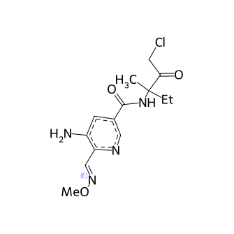 CCC(C)(NC(=O)c1cnc(/C=N/OC)c(N)c1)C(=O)CCl